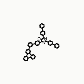 c1ccc(-c2ccc(-c3nc(-c4ccc(-c5ccccc5)cc4)c4oc5cc(-c6cccc(-c7ccc8c9ccccc9c9ccccc9c8c7)c6)ccc5c4n3)cc2)cc1